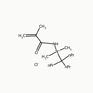 C=C(C)C(=O)N[N+](C)(C)C(CCC)(CCC)CCC.[Cl-]